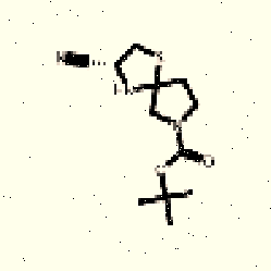 CC(C)(C)OC(=O)N1CCC2(C1)N[C@H](C#N)CS2